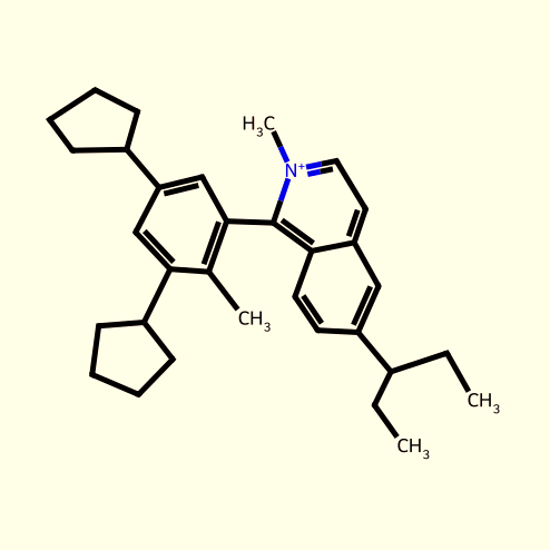 CCC(CC)c1ccc2c(-c3cc(C4CCCC4)cc(C4CCCC4)c3C)[n+](C)ccc2c1